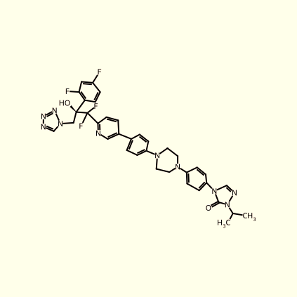 CC(C)n1ncn(-c2ccc(N3CCN(c4ccc(-c5ccc(C(F)(F)[C@](O)(Cn6cnnn6)c6ccc(F)cc6F)nc5)cc4)CC3)cc2)c1=O